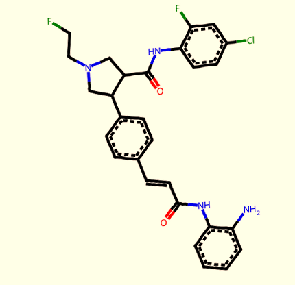 Nc1ccccc1NC(=O)/C=C/c1ccc(C2CN(CCF)CC2C(=O)Nc2ccc(Cl)cc2F)cc1